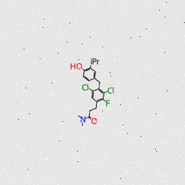 CC(C)c1cc(Cc2c(Cl)cc(CCC(=O)N(C)C)c(F)c2Cl)ccc1O